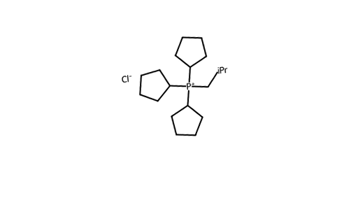 CC(C)C[P+](C1CCCC1)(C1CCCC1)C1CCCC1.[Cl-]